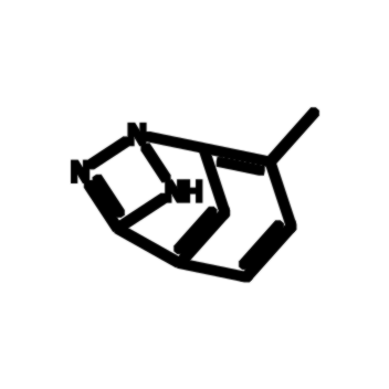 Cc1ccc2cc1-n1nc-2[nH]1